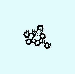 c1ccc(-c2nc(-c3ccccn3)c(-n3c4ccccc4c4ccc5c(c6ccccc6n5-c5cccnc5)c43)o2)nc1